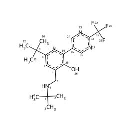 CC(C)(C)NCc1cc(C(C)(C)C)cc(-c2cnc(C(F)(F)F)nc2)c1O